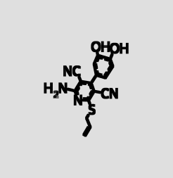 C=CCSc1nc(N)c(C#N)c(-c2ccc(O)c(O)c2)c1C#N